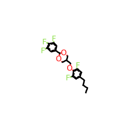 CCCCc1cc(F)c(OCC2COC(c3cc(F)c(F)c(F)c3)OC2)c(F)c1